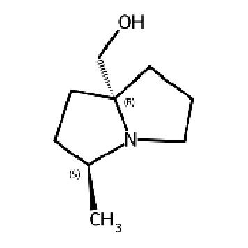 C[C@H]1CC[C@@]2(CO)CCCN12